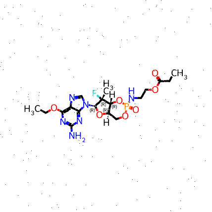 CCOc1nc(N)nc2c1ncn2[C@@H]1O[C@@H]2COP(=O)(NCCOC(=O)CC)O[C@H]2[C@@]1(C)F